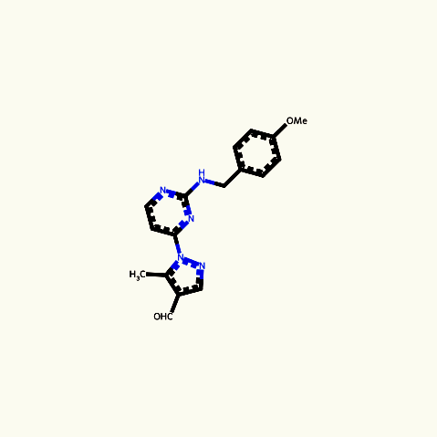 COc1ccc(CNc2nccc(-n3ncc(C=O)c3C)n2)cc1